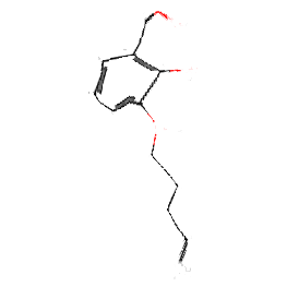 CCCCCOc1cccc(C[O])c1O